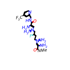 CNC(=O)/C(N)=C/N(N)CCC(F)CN(N)/C=C(\N)C(=O)NCc1cc(C(F)(F)F)ccn1